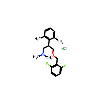 Cc1cccc(C)c1C(COCc1c(F)cccc1F)CN(C)C.Cl